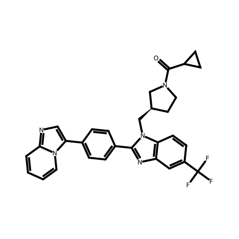 O=C(C1CC1)N1CC[C@@H](Cn2c(-c3ccc(-c4cnc5ccccn45)cc3)nc3cc(C(F)(F)F)ccc32)C1